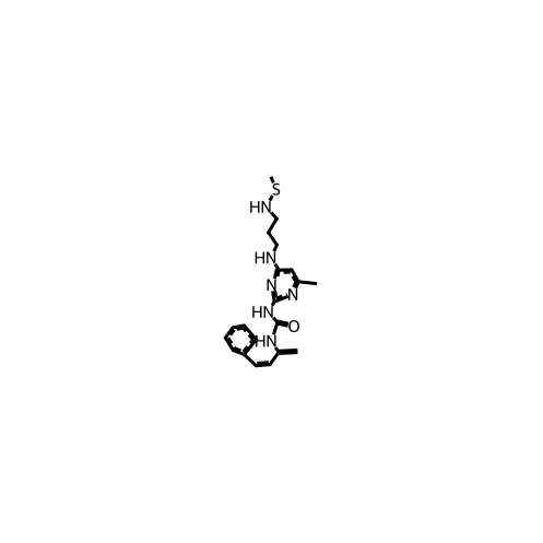 C=C(/C=C\c1ccccc1)NC(=O)Nc1nc(C)cc(NCCCNSC)n1